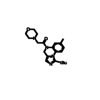 Cc1ccc2c(c1)N(C(=O)CN1CCOCC1)Cc1cnc(C(C)(C)C)n1-2